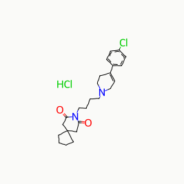 Cl.O=C1CC2(CCCC2)CC(=O)N1CCCCN1CC=C(c2ccc(Cl)cc2)CC1